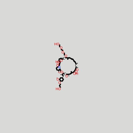 CO[C@@H]1C[C@H](C[C@@H](C)[C@@H]2CC(=O)[C@H](C)/C=C(\C)[C@@H](O)[C@@H](OC)C(=O)[C@H](C)C[C@H](C)/C=C/C=C/C=C(\C)C(OCCOCCOCCO)C[C@@H]3CC[C@@H](C)[C@@](O)(O3)C(=O)C(=O)N3CCCC[C@H]3C(=O)O2)CC[C@H]1OCCCO